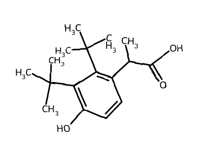 CC(C(=O)O)c1ccc(O)c(C(C)(C)C)c1C(C)(C)C